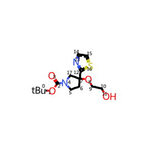 CC(C)(C)OC(=O)N1CCC(OCCO)(c2nccs2)C1